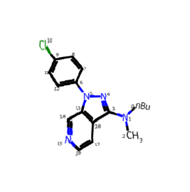 CCCCN(C)c1nn(-c2ccc(Cl)cc2)c2cnccc12